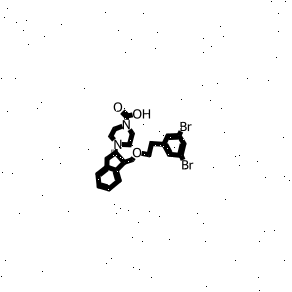 O=C(O)N1CCN([C@@H]2Cc3ccccc3C2COCCc2cc(Br)cc(Br)c2)CC1